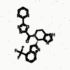 O=C(c1nnc(-c2ncccn2)o1)N1CCc2[nH]cnc2[C@@H]1c1cc2c(C(F)(F)F)cccn2n1